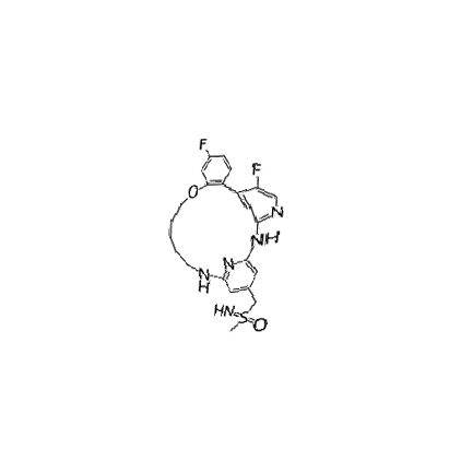 CS(=N)(=O)Cc1cc2nc(c1)Nc1cc(c(F)cn1)-c1ccc(F)cc1OCCCCCN2